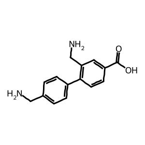 NCc1ccc(-c2ccc(C(=O)O)cc2CN)cc1